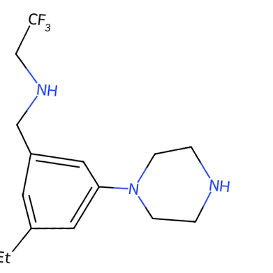 CCc1cc(CNCC(F)(F)F)cc(N2CCNCC2)c1